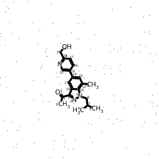 CC(=O)c1nn(CC(C)C)c2c(C)cc(-c3ccc(CO)nc3)cc12